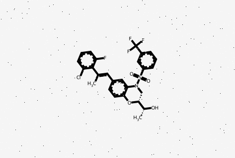 C/C(=C\c1ccc2c(c1)N(S(=O)(=O)c1cccc(C(F)(F)F)c1)C[C@H]([C@@H](C)O)O2)c1c(F)cccc1Cl